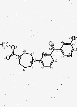 COC(=O)N1CCCN(c2cccc(C(=O)c3cncc(Br)c3)n2)CC1